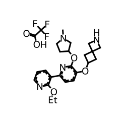 CCOc1ncccc1-c1ccc(OC2CC3(CNC3)C2)c(OC2CCN(C)C2)n1.O=C(O)C(F)(F)F